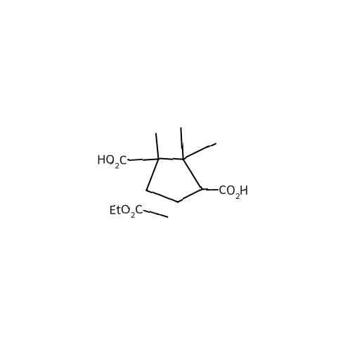 CC1(C(=O)O)CCC(C(=O)O)C1(C)C.CCOC(C)=O